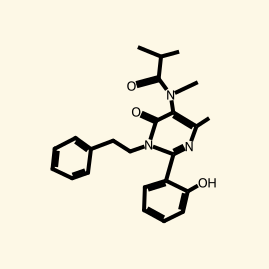 Cc1nc(-c2ccccc2O)n(CCc2ccccc2)c(=O)c1N(C)C(=O)C(C)C